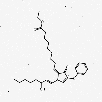 CCCCCC(O)C=CC1C=C(Sc2ccccc2)C(=O)C1=CCCCCCCCC(=O)OCC